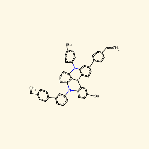 C=Cc1ccc(-c2cccc(N3c4ccc(C(C)(C)C)cc4B4c5ccc(-c6ccc(C=C)cc6)cc5N(c5ccc(C(C)(C)C)cc5)c5cccc3c54)c2)cc1